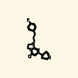 O=c1cc(-c2ccncc2)nc2n1CCN2CCCc1ccc(F)cc1